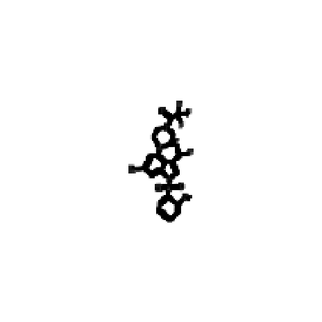 O=C(N1CCN(c2cc(Br)cc3c2c(C(F)F)cn3S(=O)(=O)c2ccccc2Br)CC1)C(F)(F)F